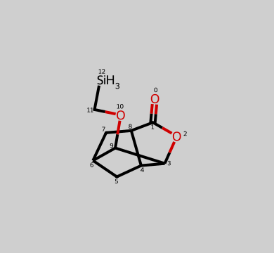 O=C1OC2C3CC(CC13)C2OC[SiH3]